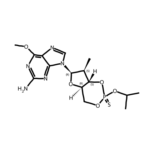 COc1nc(N)nc2c1ncn2[C@@H]1O[C@@H]2COP(=S)(OC(C)C)O[C@H]2[C@@H]1C